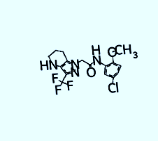 COc1ccc(Cl)cc1NC(=O)Cn1nc(C(F)(F)F)c2c1CCCN2